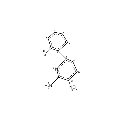 Nc1nc(-c2ccccc2S)ccc1[N+](=O)[O-]